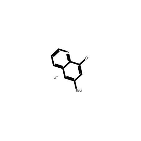 CC(C)(C)c1cc([O-])c2ncccc2c1.[Li+]